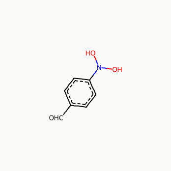 O=Cc1ccc(N(O)O)cc1